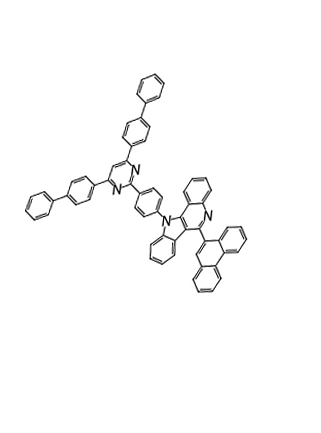 c1ccc(-c2ccc(-c3cc(-c4ccc(-c5ccccc5)cc4)nc(-c4ccc(-n5c6ccccc6c6c(-c7cc8ccccc8c8ccccc78)nc7ccccc7c65)cc4)n3)cc2)cc1